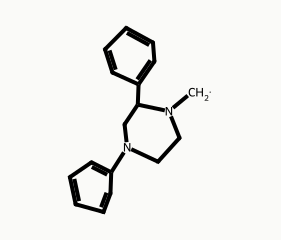 [CH2]N1CCN(c2ccccc2)CC1c1ccccc1